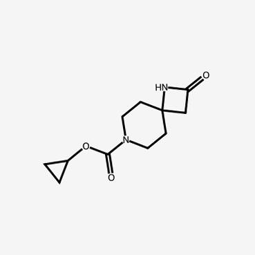 O=C1CC2(CCN(C(=O)OC3CC3)CC2)N1